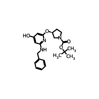 CC(C)(C)OC(=O)N1CC[C@H](Oc2cc(O)cc(NCc3ccccc3)n2)C1